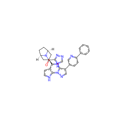 O=C(c1nnc[nH]1)N1[C@@H]2CC[C@H]1C[C@@H](c1nc3c(-c4ccc(-c5ccccc5)nc4)cnn3c3[nH]ccc13)C2